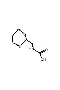 O=C(O)NCC1SCCCS1